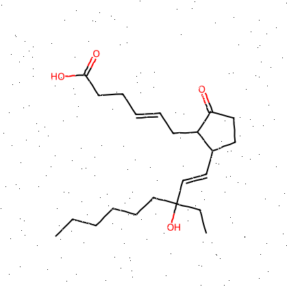 CCCCCCC(O)(C=CC1CCC(=O)C1CC=CCCC(=O)O)CC